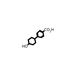 O=C(O)c1ccc(C2CCC(O)CC2)cc1